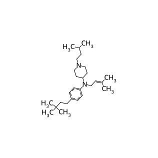 CC(C)=CCN(c1ccc(CCC(C)(C)C)cc1)C1CCN(CCC(C)C)CC1